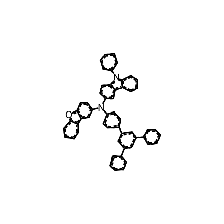 c1ccc(-c2cc(-c3ccccc3)cc(-c3ccc(N(c4ccc5oc6ccccc6c5c4)c4ccc5c(c4)c4ccccc4n5-c4ccccc4)cc3)c2)cc1